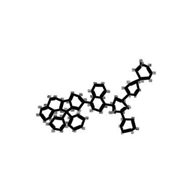 c1ccc(-c2nc(-c3ccc(-c4cccnc4)cc3)cc(-c3ccc(-c4ccc5c(c4)C(c4ccccc4)(c4ccccc4)c4c-5ccc5ccccc45)c4ccccc34)n2)cc1